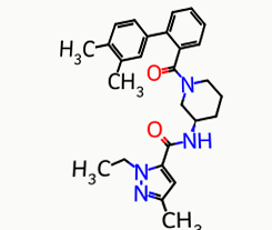 CCn1nc(C)cc1C(=O)N[C@@H]1CCCN(C(=O)c2ccccc2-c2ccc(C)c(C)c2)C1